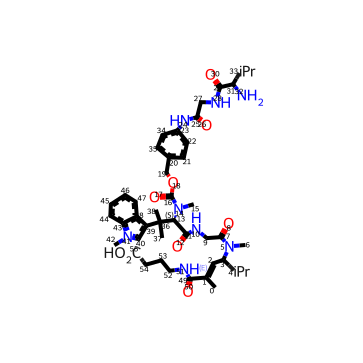 C/C(=C\C(C(C)C)N(C)C(=O)CNC(=O)[C@@H](N(C)C(=O)OCc1ccc(NC(=O)CNC(=O)C(N)C(C)C)cc1)C(C)(C)c1cn(C)c2ccccc12)C(=O)NCCCC(=O)O